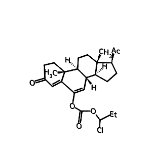 CCC(Cl)OC(=O)OC1=C[C@H]2[C@@H]3CC[C@H](C(C)=O)[C@@]3(C)CC[C@@H]2[C@@]2(C)CCC(=O)C=C12